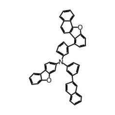 c1cc(-c2ccc3ccccc3c2)cc(N(c2cccc(-c3cccc4oc5c6ccccc6ccc5c34)c2)c2ccc3c(c2)oc2ccccc23)c1